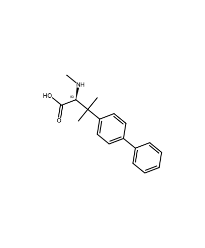 CN[C@H](C(=O)O)C(C)(C)c1ccc(-c2ccccc2)cc1